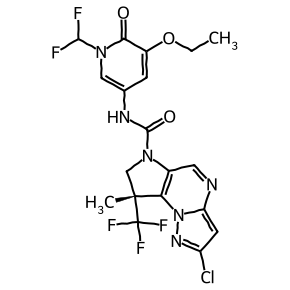 CCOc1cc(NC(=O)N2C[C@@](C)(C(F)(F)F)c3c2cnc2cc(Cl)nn32)cn(C(F)F)c1=O